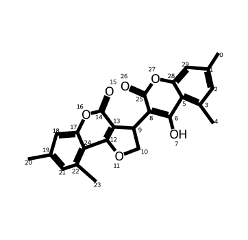 Cc1cc(C)c2c(O)c(C3COc4c3c(=O)oc3cc(C)cc(C)c43)c(=O)oc2c1